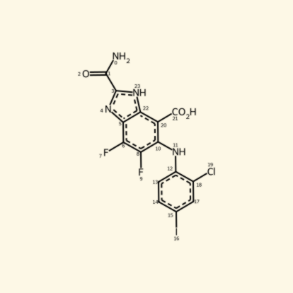 NC(=O)c1nc2c(F)c(F)c(Nc3ccc(I)cc3Cl)c(C(=O)O)c2[nH]1